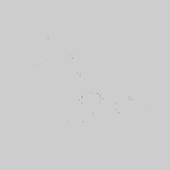 CCc1[nH]c(C(=O)N[C@@H]2CCN(c3nc4cccc(C(=O)O)c4s3)C[C@@H]2N2CCCC2)nc1Cl